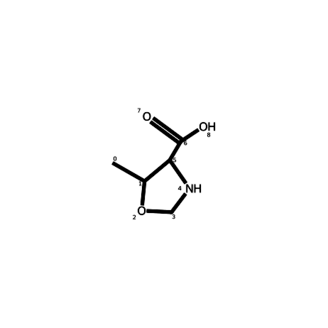 CC1OCNC1C(=O)O